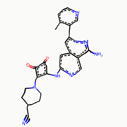 Cc1ccncc1-c1cc2cc(Nc3c(N4CCC(C#N)CC4)c(=O)c3=O)ncc2c(N)n1